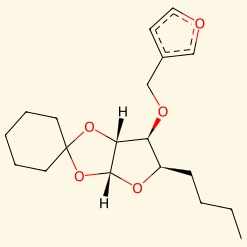 CCCC[C@H]1O[C@@H]2OC3(CCCCC3)O[C@@H]2[C@H]1OCc1ccoc1